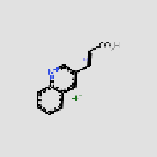 Cl.O=C(O)/C=C/c1cnc2ccccc2c1